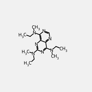 CCN(C)c1nc(N(C)CC)c2ncnc(N(C)CC)c2n1